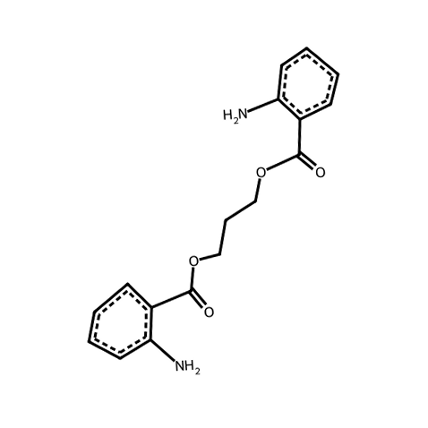 Nc1ccccc1C(=O)OCCCOC(=O)c1ccccc1N